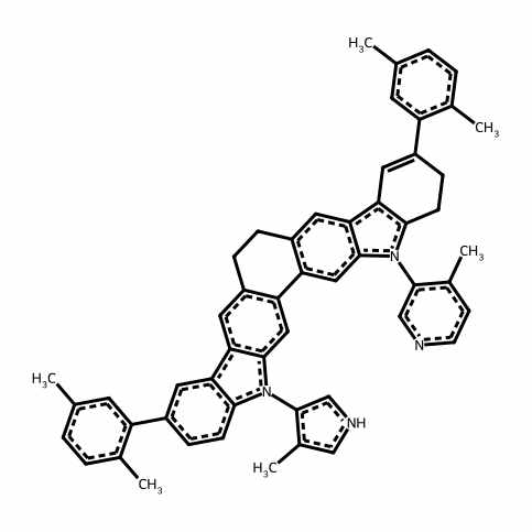 Cc1ccc(C)c(C2=Cc3c(n(-c4cnccc4C)c4cc5c(cc34)CCc3cc4c6cc(-c7cc(C)ccc7C)ccc6n(-c6c[nH]cc6C)c4cc3-5)CC2)c1